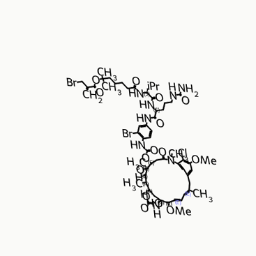 C=C(CBr)C(=O)OC(C)(C)CCCCC(=O)N[C@H](C(=O)N[C@@H](CCCNC(N)=O)C(=O)Nc1ccc(NC(=O)O[C@H]2CC(=O)N(C)c3cc(cc(OC)c3Cl)C/C(C)=C/C=C/[C@@H](OC)[C@@]3(O)C[C@H](OC(=O)N3)[C@@H](C)[C@@H]3O[C@@]23C)c(Br)c1)C(C)C